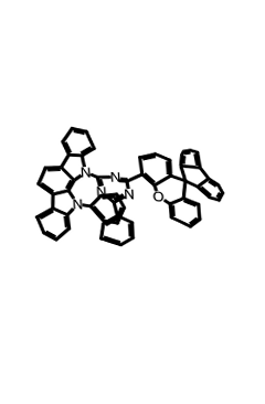 c1ccc(-c2nc(-c3cccc4c3Oc3ccccc3C43c4ccccc4-c4ccccc43)nc(-n3c4ccccc4c4ccc5c6ccccc6n(-c6ccccc6)c5c43)n2)cc1